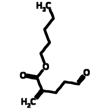 C=C(CCC=O)C(=O)OCCCCC